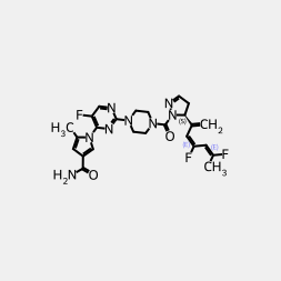 C=C(/C=C(F)\C=C(/C)F)[C@@H]1CC=NN1C(=O)N1CCN(c2ncc(F)c(-n3cc(C(N)=O)cc3C)n2)CC1